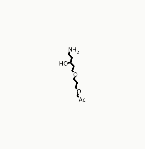 CC(=O)COCCCOCCC(O)CCN